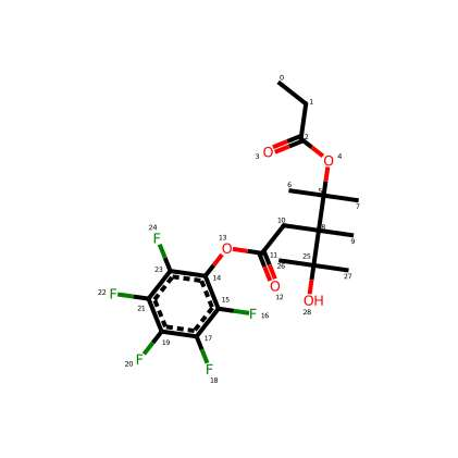 CCC(=O)OC(C)(C)C(C)(CC(=O)Oc1c(F)c(F)c(F)c(F)c1F)C(C)(C)O